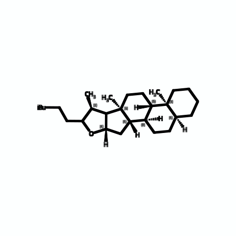 CCC(C)CCC1O[C@H]2C[C@H]3[C@@H]4CC[C@@H]5CCCC[C@]5(C)[C@H]4CC[C@]3(C)C2[C@@H]1C